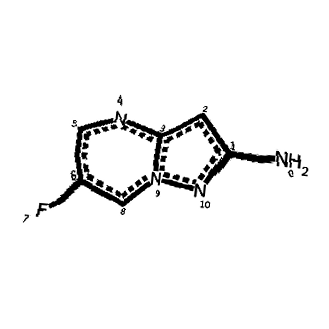 Nc1cc2ncc(F)cn2n1